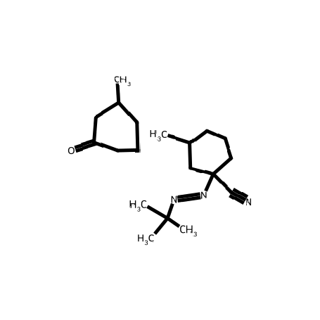 CC1CCCC(=O)C1.CC1CCCC(C#N)(N=NC(C)(C)C)C1